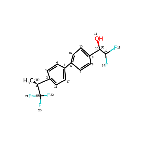 C[C@@H](c1ccc(-c2ccc([C@@H](O)C(F)F)cc2)cc1)C(F)(F)F